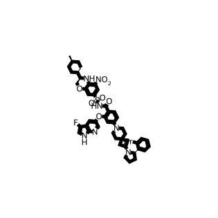 CC(C)c1ccccc1[C@@H]1CCCN1C1CC2(CCN(c3ccc(C(=O)NS(=O)(=O)c4cc5c(c([N+](=O)[O-])c4)N[C@H]([C@H]4CC[C@H](C)CC4)CO5)c(Oc4cnc5[nH]cc(F)c5c4)c3)CC2)C1